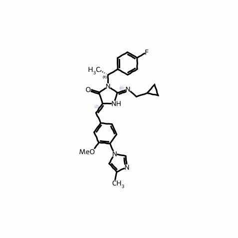 COc1cc(/C=C2\N/C(=N\CC3CC3)N([C@H](C)c3ccc(F)cc3)C2=O)ccc1-n1cnc(C)c1